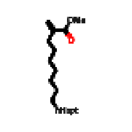 C=C(CCCCCCCCCCCCCC)C(=O)OC